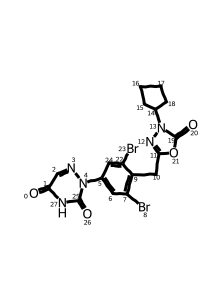 O=c1cnn(-c2cc(Br)c(Cc3nn(C4CCCC4)c(=O)o3)c(Br)c2)c(=O)[nH]1